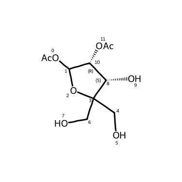 CC(=O)OC1OC(CO)(CO)[C@@H](O)[C@H]1OC(C)=O